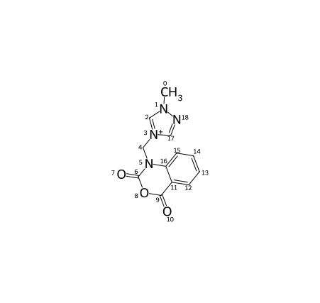 Cn1c[n+](Cn2c(=O)oc(=O)c3ccccc32)cn1